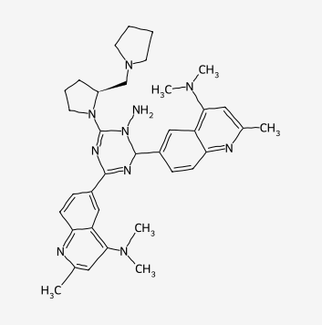 Cc1cc(N(C)C)c2cc(C3=NC(c4ccc5nc(C)cc(N(C)C)c5c4)N(N)C(N4CCC[C@H]4CN4CCCC4)=N3)ccc2n1